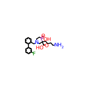 NCCCCC1(C(=O)O)CN(Cc2ccccc2-c2cccc(F)c2)CCP1(=O)O